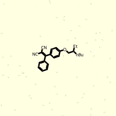 CCCCC(CC)COc1ccc(C(=C(C#N)C#N)c2ccccc2)cc1